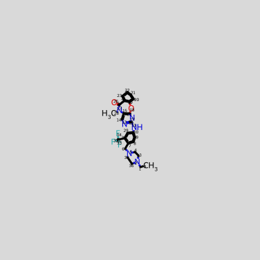 CCN1CCN(Cc2ccc(Nc3ncc4c(n3)Oc3ccccc3C(=O)N4C)cc2C(F)(F)F)CC1